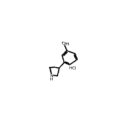 Cl.Oc1cccc(C2CNC2)c1